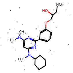 CNCC(O)COc1cccc(-c2nc(N(C)C)cc(N(C)C3CCCCC3)n2)c1